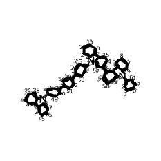 c1ccc(-n2c3ccccc3c3c(-c4ccc5c6ccccc6n(-c6ccc(-c7ccc(-c8ccc(-n9c%10ccccc%10c%10ccccc%109)cc8)cc7)cc6)c5c4)cccc32)cc1